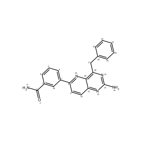 NC(=O)c1cccc(-c2ccc3nc(N)nc(Cc4ccccc4)c3n2)c1